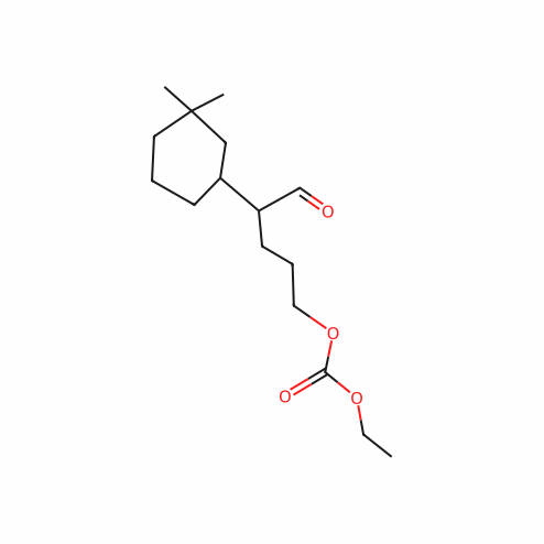 CCOC(=O)OCCCC(C=O)C1CCCC(C)(C)C1